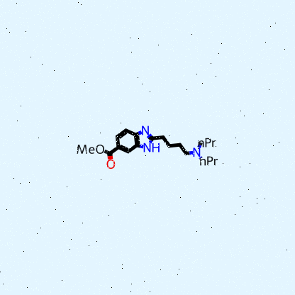 CCCN(CCC)CCCCc1nc2ccc(C(=O)OC)cc2[nH]1